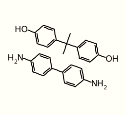 CC(C)(c1ccc(O)cc1)c1ccc(O)cc1.Nc1ccc(-c2ccc(N)cc2)cc1